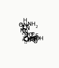 Nc1nc2c(ncn2Cc2ccccc2C(O)(O)C(F)(F)P(=O)(O)O)c(=O)[nH]1